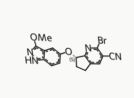 COc1n[nH]c2ccc(O[C@H]3CCc4cc(C#N)c(Br)nc43)cc12